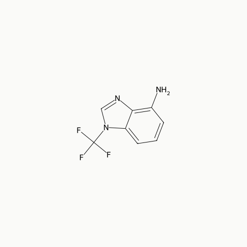 Nc1cccc2c1ncn2C(F)(F)F